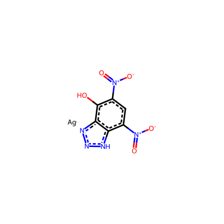 O=[N+]([O-])c1cc([N+](=O)[O-])c2[nH]nnc2c1O.[Ag]